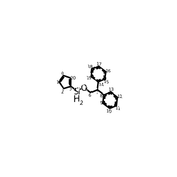 C1=CCC([SiH2]OCC(c2ccccc2)c2ccccc2)=C1